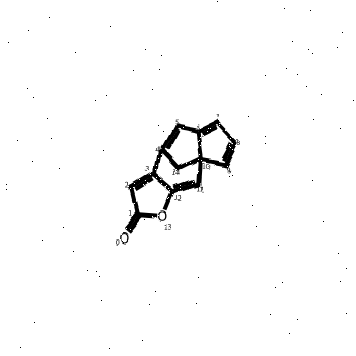 O=C1C=C2C3=CC4=CC=CC4(C=C2O1)C3